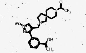 C=C(O)c1cccc(-c2nn(C(C)C)cc2CN2CCC3(CCN(C(=O)C(F)(F)F)CC3)C2)c1